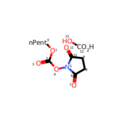 CCCCCOC(=O)ON1C(=O)CCC1=O.O=C(O)O